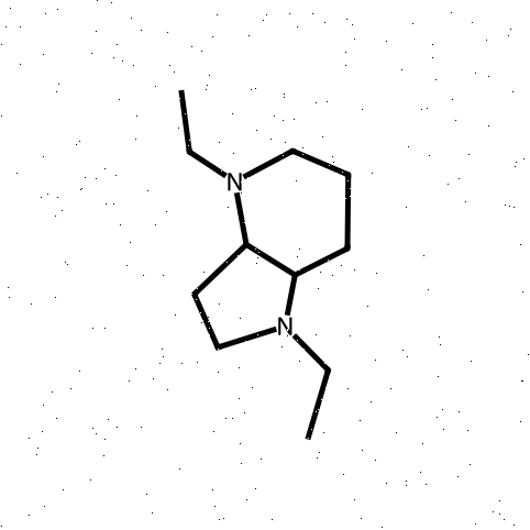 CCN1CCCC2C1CCN2CC